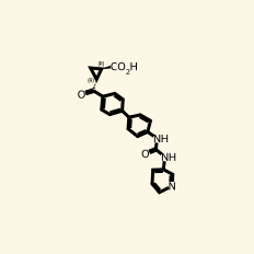 O=C(Nc1ccc(-c2ccc(C(=O)[C@@H]3C[C@H]3C(=O)O)cc2)cc1)Nc1cccnc1